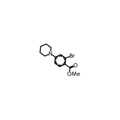 COC(=O)c1ccc(N2CCCCC2)cc1Br